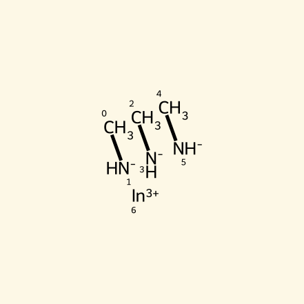 C[NH-].C[NH-].C[NH-].[In+3]